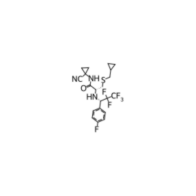 N#CC1(NC(=O)[C@H](CSCC2CC2)N[C@@H](c2ccc(F)cc2)C(F)(F)C(F)(F)F)CC1